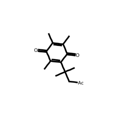 CC(=O)CC(C)(C)C1=C(C)C(=O)C(C)=C(C)C1=O